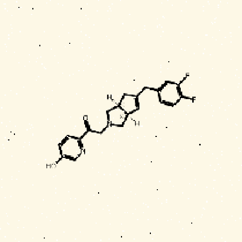 O=C(CN1C[C@H]2CC(Cc3ccc(F)c(F)c3)=C[C@H]2C1)c1ccc(O)cn1